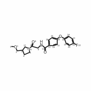 COCC1CCN(C(=O)CNC(=O)c2ccc(Oc3ccc(F)cc3)cc2)C1